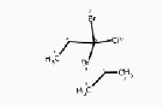 CCC.CCC(Cl)(Br)Br